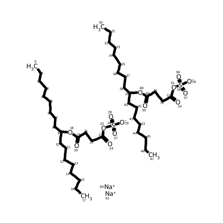 CCCCCCCCCC(CCCCCCCC)OC(=O)CCC(=O)OS(=O)(=O)[O-].CCCCCCCCCC(CCCCCCCC)OC(=O)CCC(=O)OS(=O)(=O)[O-].[Na+].[Na+]